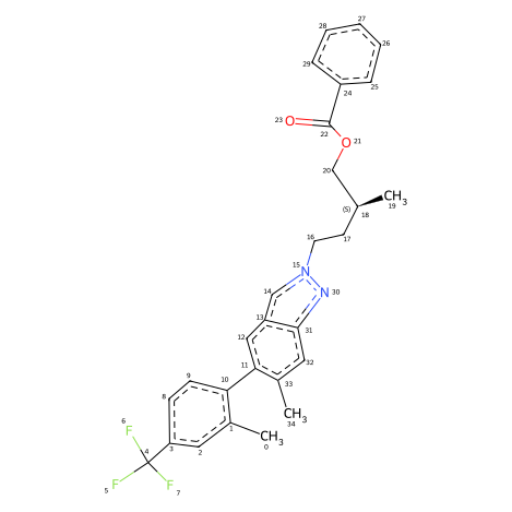 Cc1cc(C(F)(F)F)ccc1-c1cc2cn(CC[C@H](C)COC(=O)c3ccccc3)nc2cc1C